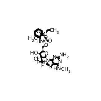 CCOC(=O)[C@H](C)NP(=O)(OC[C@H]1O[C@@H](n2cnc3c(NC)nc(N)nc32)[C@@](Cl)(C(F)(F)F)[C@@H]1O)Oc1ccccc1